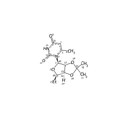 CC[C@H]1O[C@@H](n2c(C)cc(=O)[nH]c2=O)C2OC(C)(C)O[C@H]21